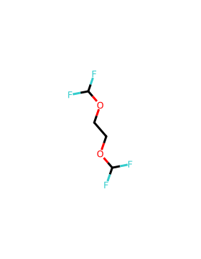 FC(F)OCCOC(F)F